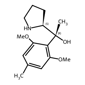 COc1cc(C)cc(OC)c1[C@@](C)(O)[C@@H]1CCCN1